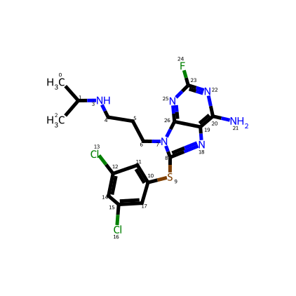 CC(C)NCCCn1c(Sc2cc(Cl)cc(Cl)c2)nc2c(N)nc(F)nc21